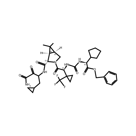 CC1(C)[C@@H]2[C@@H](C(=O)NC(CC3CC3)C(=O)C(N)=O)N(C(=O)[C@@H](NC(=O)N[C@H](C(=O)OCc3ccccc3)C3CCCC3)C3(C(F)(F)F)CC3)C[C@@H]21